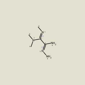 C/N=C(/C(N)=N/N)N(C)C